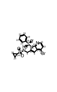 O=S(=O)(NCc1cc2c(Br)ccnc2n1S(=O)(=O)c1ccccc1)C1CC1